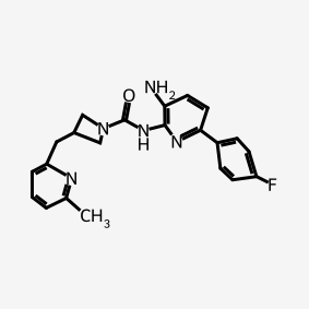 Cc1cccc(CC2CN(C(=O)Nc3nc(-c4ccc(F)cc4)ccc3N)C2)n1